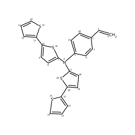 C=Cc1ccc(N(c2ccc(-c3cccs3)s2)c2ccc(-c3cccs3)s2)cc1